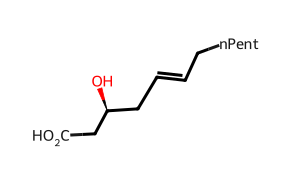 CCCCCC/C=C/C[C@H](O)CC(=O)O